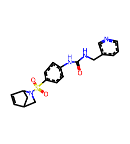 O=C(NCc1cccnc1)Nc1ccc(S(=O)(=O)N2CC3C=CC2C3)cc1